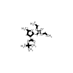 CCOP(=O)(C[C@H]1OC(C)C[C@H]1C(=O)OC(C)(C)C)OCC